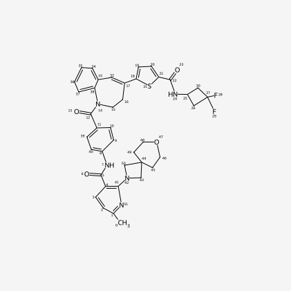 Cc1ccc(C(=O)Nc2ccc(C(=O)N3CCC(c4ccc(C(=O)NC5CC(F)(F)C5)s4)=Cc4ccccc43)cc2)c(N2CC3(CCOCC3)C2)n1